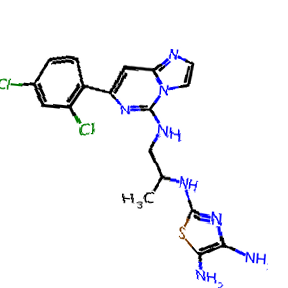 CC(CNc1nc(-c2ccc(Cl)cc2Cl)cc2nccn12)Nc1nc(N)c(N)s1